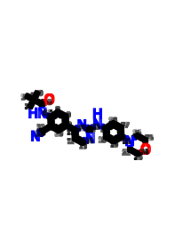 CC(C)(C)C(=O)Nc1ccc(-c2ccnc(Nc3ccc(N4CCOCC4)cc3)n2)cc1C#N